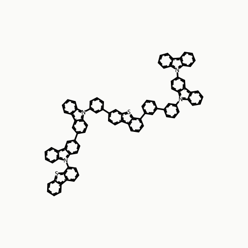 c1cc(-c2cccc(-n3c4ccccc4c4cc(-n5c6ccccc6c6ccccc65)ccc43)c2)cc(-c2cccc3c2sc2cc(-c4cccc(-n5c6ccccc6c6cc(-c7ccc8c(c7)c7ccccc7n8-c7cccc8c7sc7ccccc78)ccc65)c4)ccc23)c1